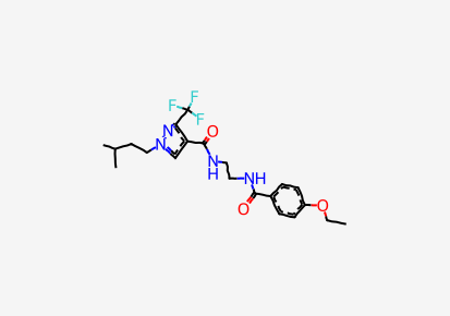 CCOc1ccc(C(=O)NCCNC(=O)c2cn(CCC(C)C)nc2C(F)(F)F)cc1